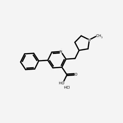 CN1CCC(Cc2ncc(-c3ccccc3)cc2C(=O)O)C1.Cl